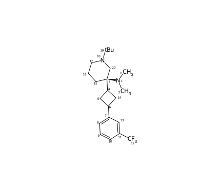 CN(C)[C@@]1(C2CC(c3cccc(C(F)(F)F)c3)C2)CCCN(C(C)(C)C)C1